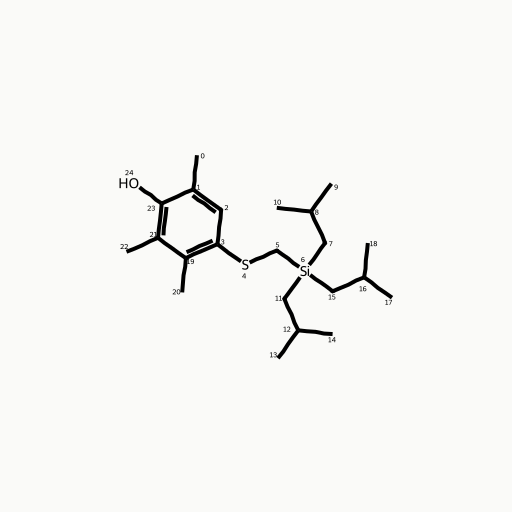 Cc1cc(SC[Si](CC(C)C)(CC(C)C)CC(C)C)c(C)c(C)c1O